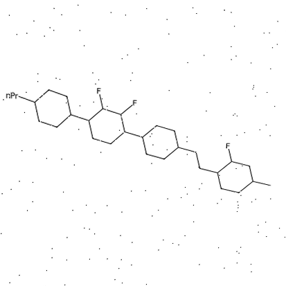 CCCC1CCC(C2CCC(C3CCC(CCC4CCC(C)CC4F)CC3)C(F)C2F)CC1